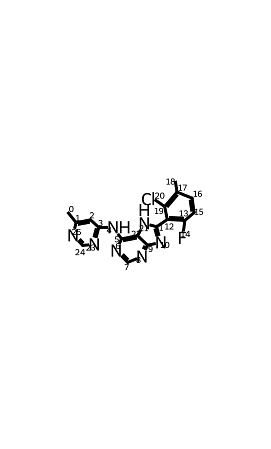 Cc1cc(Nc2ncnc3nc(-c4c(F)ccc(C)c4Cl)[nH]c23)ncn1